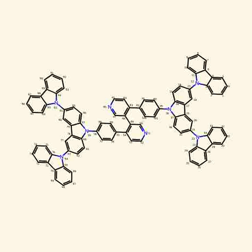 c1ccc2c(c1)c1ccccc1n2-c1ccc2c(c1)c1cc(-n3c4ccccc4c4ccccc43)ccc1n2-c1ccc(-c2ccncc2-c2cnccc2-c2ccc(-n3c4ccc(-n5c6ccccc6c6ccccc65)cc4c4cc(-n5c6ccccc6c6ccccc65)ccc43)cc2)cc1